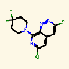 FC1(F)CCN(c2nc(Cl)cc3cc(Cl)nnc23)CC1